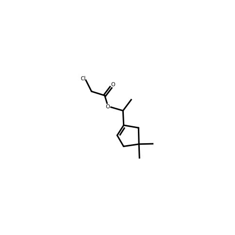 CC(OC(=O)CCl)C1=CCC(C)(C)C1